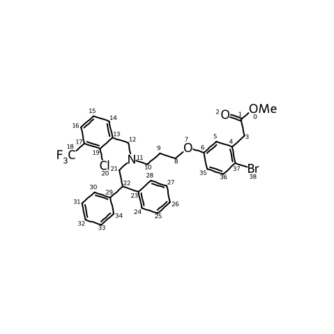 COC(=O)Cc1cc(OCCCN(Cc2cccc(C(F)(F)F)c2Cl)CC(c2ccccc2)c2ccccc2)ccc1Br